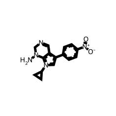 NN1CN=Cc2c(-c3ccc([N+](=O)[O-])cc3)cn(C3CC3)c21